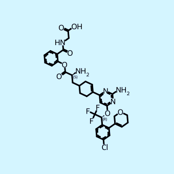 Nc1nc(O[C@H](c2ccc(Cl)cc2C2=CCCOC2)C(F)(F)F)cc(C2=CCC(C[C@H](N)C(=O)Oc3ccccc3C(=O)NCC(=O)O)CC2)n1